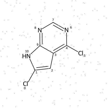 Clc1cc2c(Cl)ncnc2[nH]1